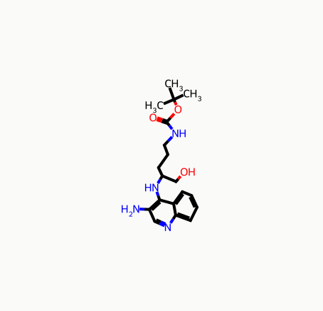 CC(C)(C)OC(=O)NCCCC(CO)Nc1c(N)cnc2ccccc12